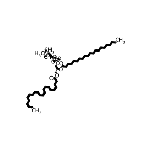 CC/C=C\C/C=C\C/C=C\C/C=C\C/C=C\C/C=C\CCC(=O)OC[C@H](COP(=O)([O-])OCC[N+](C)(C)C)OC(=O)CCCCCCCCCCCCCCCCCCCC